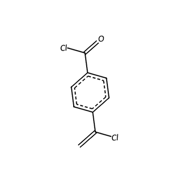 C=C(Cl)c1ccc(C(=O)Cl)cc1